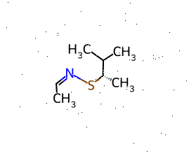 C/C=N\S[C@@H](C)C(C)C